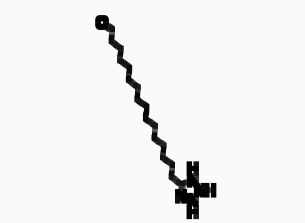 O=CCCCCCCCCCCCCCCCC1=NNNN1